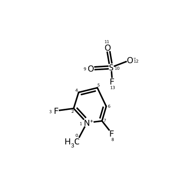 C[n+]1c(F)cccc1F.O=S(=O)([O-])F